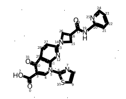 O=C(O)c1cn(-c2nccs2)c2nc(N3CC(C(=O)Nc4ccccn4)C3)ccc2c1=O